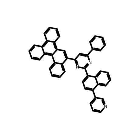 c1ccc(-c2cc(-c3cc4c5ccccc5c5ccccc5c4c4ccccc34)nc(-c3ccc(-c4cccnc4)c4ccccc34)n2)cc1